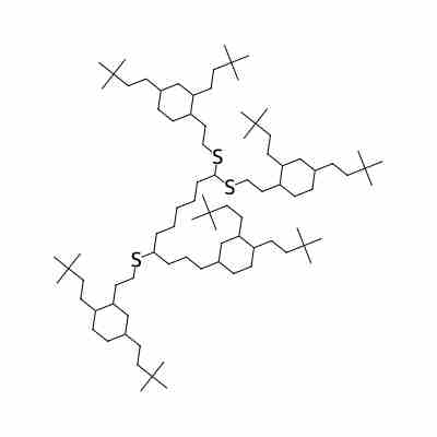 CC(C)(C)CCC1CCC(CCC(C)(C)C)C(CCSC(CCCCCC(SCCC2CCC(CCC(C)(C)C)CC2CCC(C)(C)C)SCCC2CCC(CCC(C)(C)C)CC2CCC(C)(C)C)CCCC2CCC(CCC(C)(C)C)C(CCC(C)(C)C)C2)C1